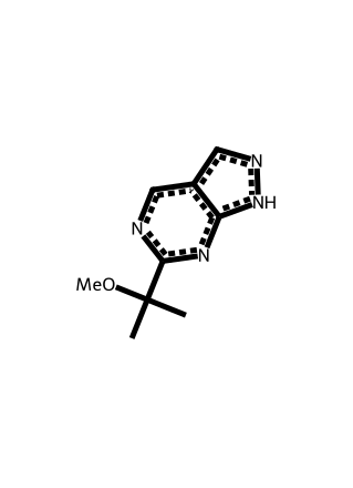 COC(C)(C)c1ncc2cn[nH]c2n1